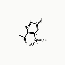 C=C(C)c1ncc(Br)cc1[N+](=O)[O-]